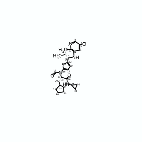 CC[C@H](Nc1cc(Cl)cnc1C)c1ccc(N(C=O)[C@@H](CC2CCCC2)C(=O)NC2CC2)s1